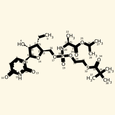 CC[C@H]1[C@@H](O)[C@H](n2ccc(=O)[nH]c2=O)O[C@@H]1COP(=O)(N[C@@H](C)C(=O)OC(C)C)OCCSC(=O)C(C)(C)C